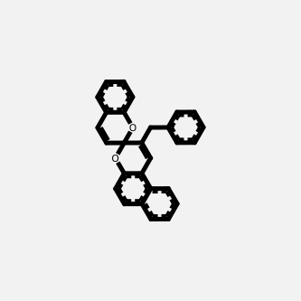 C1=CC2(Oc3ccccc31)Oc1ccc3ccccc3c1C=C2Cc1ccccc1